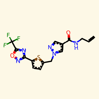 C=CCNC(=O)c1cnn(Cc2ccc(-c3noc(C(F)(F)F)n3)s2)c1